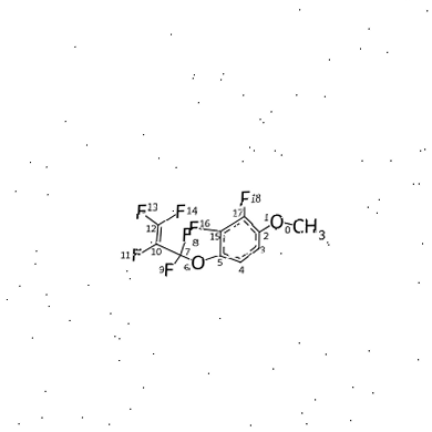 COc1ccc(OC(F)(F)C(F)=C(F)F)c(F)c1F